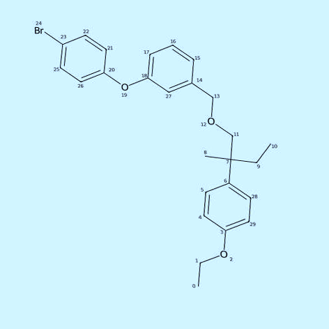 CCOc1ccc(C(C)(CC)COCc2cccc(Oc3ccc(Br)cc3)c2)cc1